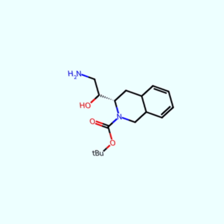 CC(C)(C)OC(=O)N1CC2C=CC=CC2C[C@H]1C(O)CN